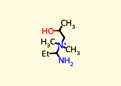 CCC(N)[N+](C)(C)CC(C)O